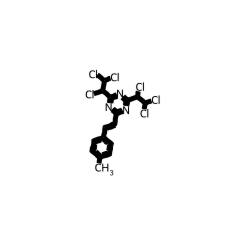 Cc1ccc(C=Cc2nc(C(Cl)C(Cl)Cl)nc(C(Cl)C(Cl)Cl)n2)cc1